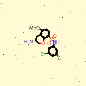 COc1ccc(S(=O)(=O)Nc2cc(Cl)cc(Cl)c2)c2c1C[C@@H](N)CO2